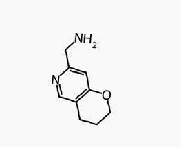 NCc1cc2c(cn1)CCCO2